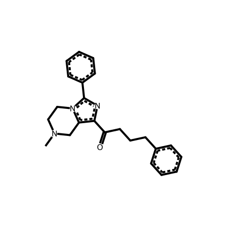 CN1CCn2c(-c3ccccc3)nc(C(=O)CCCc3ccccc3)c2C1